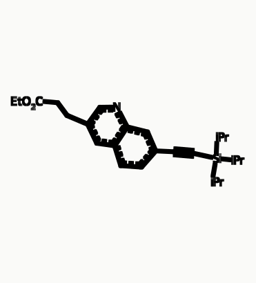 CCOC(=O)CCc1cnc2cc(C#C[Si](C(C)C)(C(C)C)C(C)C)ccc2c1